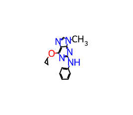 Cn1cnc2c(OC3CC3)nc(Nc3ccccc3)nc21